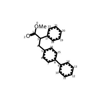 COC(=O)C(Cc1ccc(-c2ccccc2)cc1)c1ccccc1